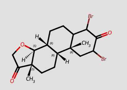 C[C@]12CC(Br)C(=O)C(Br)C1CC[C@@H]1[C@H]2CC[C@]2(C)C(=O)CO[C@@H]12